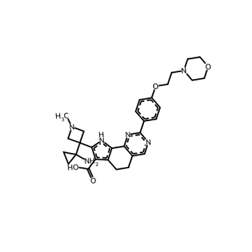 CN1CC(c2[nH]c3c(c2C(=O)O)CCc2cnc(-c4ccc(OCCN5CCOCC5)cc4)nc2-3)(C2(N)CC2)C1